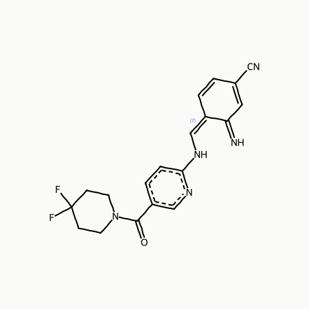 N#CC1=CC(=N)/C(=C\Nc2ccc(C(=O)N3CCC(F)(F)CC3)cn2)C=C1